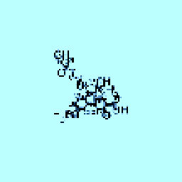 CCOC(=O)CCCOC1CC(C)(C)C2C1c1ccc(OC)cc1-c1cc(=O)c(C(=O)O)cn12